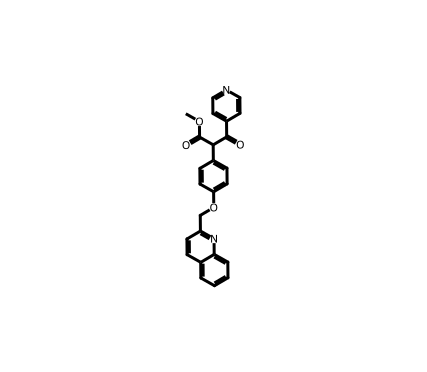 COC(=O)C(C(=O)c1ccncc1)c1ccc(OCc2ccc3ccccc3n2)cc1